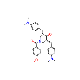 COc1ccc(C(=O)N2CC(=Cc3ccc(N(C)C)cc3)C(=O)C(=Cc3ccc(N(C)C)cc3)C2)cc1